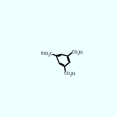 CCOC(=O)c1cc(C(=O)OCC)cc(C(=O)OCC)c1